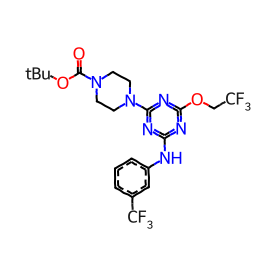 CC(C)(C)OC(=O)N1CCN(c2nc(Nc3cccc(C(F)(F)F)c3)nc(OCC(F)(F)F)n2)CC1